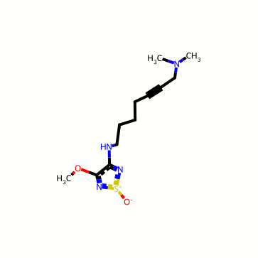 COc1n[s+]([O-])nc1NCCCCC#CCN(C)C